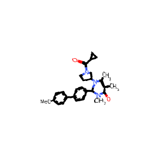 COc1ccc(-c2ccc(C3N(C)C(=O)C(C)=C(C)N3C3CCN(C(=O)C4CC4)C3)cc2)cc1